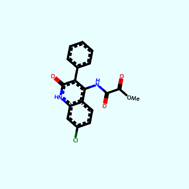 COC(=O)C(=O)Nc1c(-c2ccccc2)c(=O)[nH]c2cc(Cl)ccc12